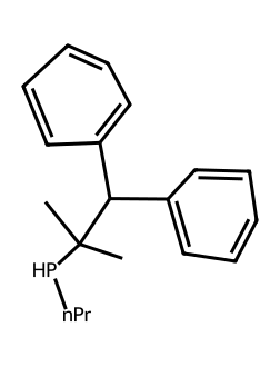 CCCPC(C)(C)C(c1ccccc1)c1ccccc1